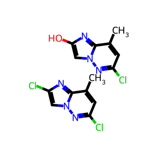 Cc1cc(Cl)nn2cc(Cl)nc12.Cc1cc(Cl)nn2cc(O)nc12